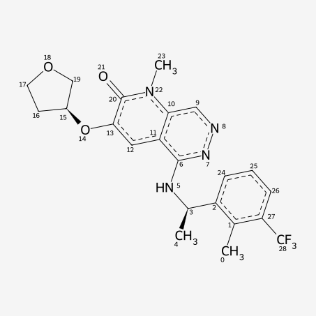 Cc1c([C@@H](C)Nc2nncc3c2cc(O[C@H]2CCOC2)c(=O)n3C)cccc1C(F)(F)F